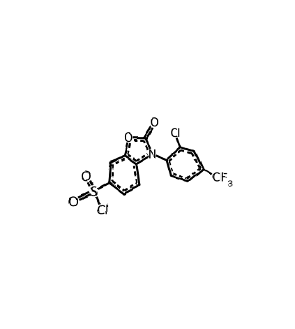 O=c1oc2cc(S(=O)(=O)Cl)ccc2n1-c1ccc(C(F)(F)F)cc1Cl